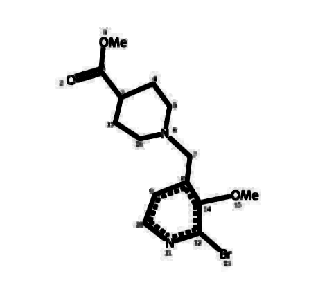 COC(=O)C1CCN(Cc2ccnc(Br)c2OC)CC1